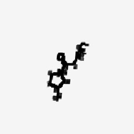 [C-]#[N+]CC(=O)N1CCC(F)C1